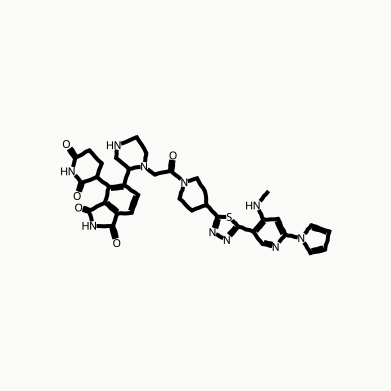 CNc1cc(-n2cccc2)ncc1-c1nnc(C2CCN(C(=O)CN3CCNCC3c3ccc4c(c3C3CCC(=O)NC3=O)C(=O)NC4=O)CC2)s1